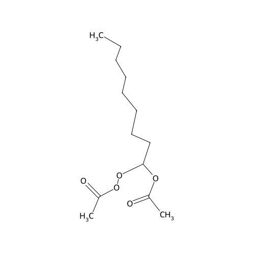 CCCCCCCCC(OOC(C)=O)OC(C)=O